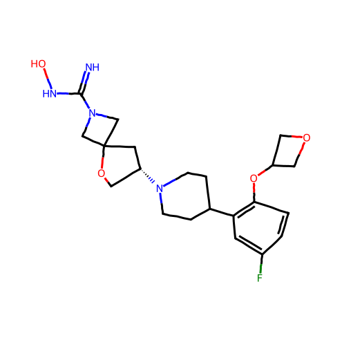 N=C(NO)N1CC2(C[C@H](N3CCC(c4cc(F)ccc4OC4COC4)CC3)CO2)C1